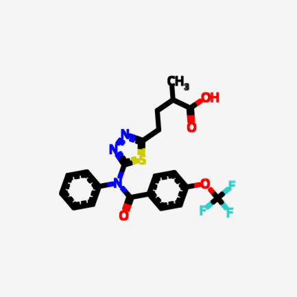 CC(CCc1nnc(N(C(=O)c2ccc(OC(F)(F)F)cc2)c2ccccc2)s1)C(=O)O